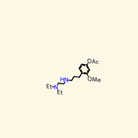 CCN(CC)CCNCCCc1ccc(OC(C)=O)cc1OC